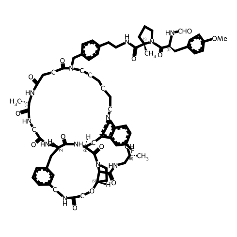 COc1ccc(C[C@H](NC=O)C(=O)N2CCC[C@@]2(C)C(=O)NCCc2ccc(CN3CCCCCCn4cc(c5cc(F)ccc54)C[C@@H]4NC(=O)[C@H](Cc5cccc(c5)CNC(=O)CO[C@H]5CCN(C4=O)C5C(=O)NC[C@@H](C)O)NC(=O)CNC(=O)[C@H](C)NC(=O)CCC3=O)cc2)cc1